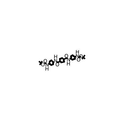 CC(C)(C)OC(=O)Nc1ccc(NC(=O)c2ccc(C(=O)Nc3ccc(NC(=O)OC(C)(C)C)cc3)cc2)cc1